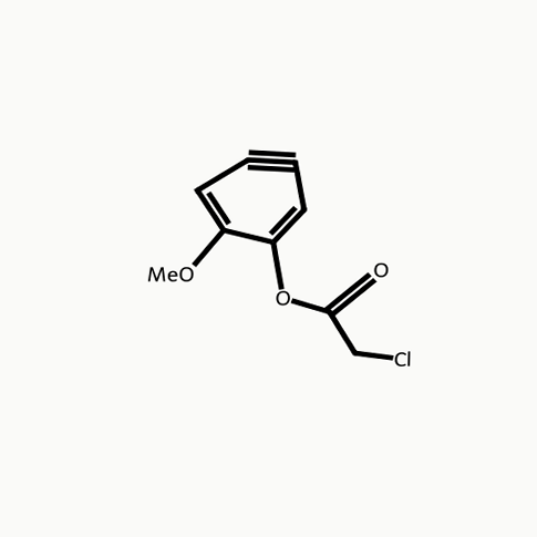 COc1cc#ccc1OC(=O)CCl